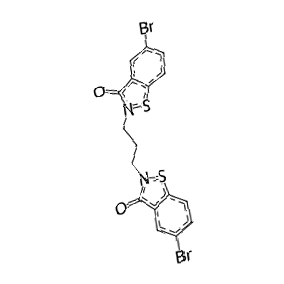 O=c1c2cc(Br)ccc2sn1CCCn1sc2ccc(Br)cc2c1=O